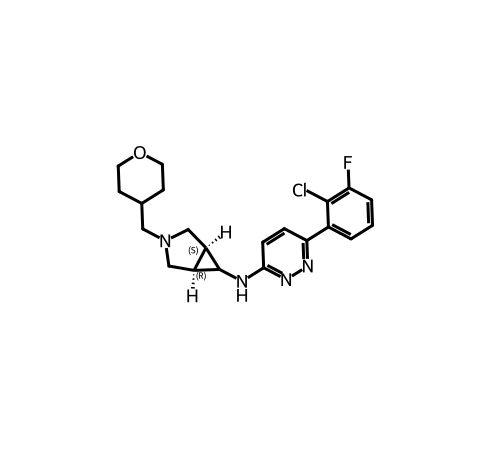 Fc1cccc(-c2ccc(NC3[C@H]4CN(CC5CCOCC5)C[C@@H]34)nn2)c1Cl